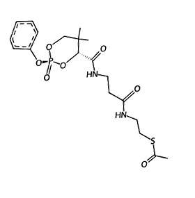 CC(=O)SCCNC(=O)CCNC(=O)[C@@H]1O[P@@](=O)(Oc2ccccc2)OCC1(C)C